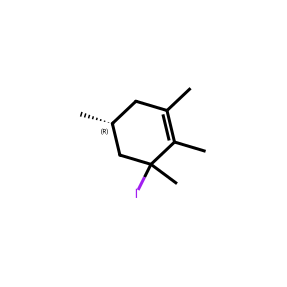 CC1=C(C)C(C)(I)C[C@H](C)C1